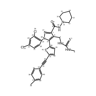 CNC(=S)NCc1c(C(=O)NN2CCCCC2)nn(-c2ccc(Cl)cc2Cl)c1-c1ccc(C#Cc2ccc(C)cc2)s1